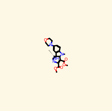 COC(=O)C1=C(C(=O)OC)C2N(C)c3ccc(N4CCOCC4)cc3[C@@]23C[C@@H](C)NC3=N1